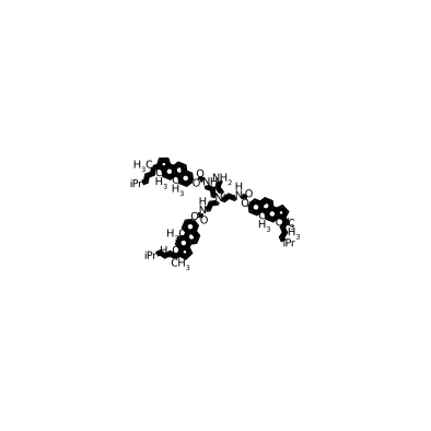 CC(C)CCCC(C)C1CCC2C3CC=C4CC(OC(=O)NCCC[N+](CCCN)(CCCNC(=O)OC5CCC6(C)C(=CCC7C6CCC6(C)C(C(C)CCCC(C)C)CCC76)C5)CCCNC(=O)OC5CCC6(C)C(=CCC7C6CCC6(C)C(C(C)CCCC(C)C)CCC76)C5)CCC4(C)C3CCC12C